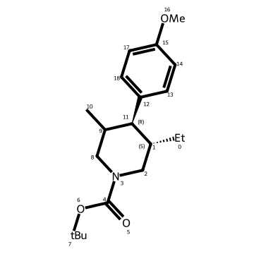 CC[C@@H]1CN(C(=O)OC(C)(C)C)CC(C)[C@H]1c1ccc(OC)cc1